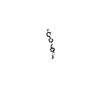 CCCOc1ccc(CC[C@H]2CC[C@H]([C@H]3CC[C@H](CC)CC3)CC2)cc1